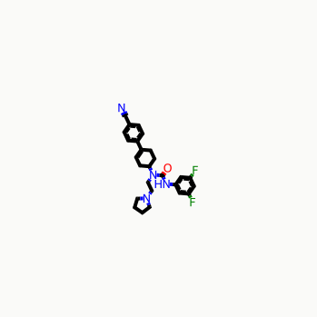 N#Cc1ccc(C2=CCC(N(CCN3CCCC3)C(=O)Nc3cc(F)cc(F)c3)CC2)cc1